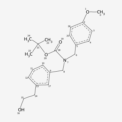 COc1ccc(CN(Cc2cccc(CCO)c2)C(=O)OC(C)(C)C)cc1